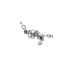 C[C@]12Cc3cnn(-c4ccc(F)cc4)c3C=C1CC[C@@H]1[C@@H]2[C@@H](O)C[C@@]2(C)[C@H]1CC[C@]2(OC(=O)c1ccoc1)C(=O)SCCO